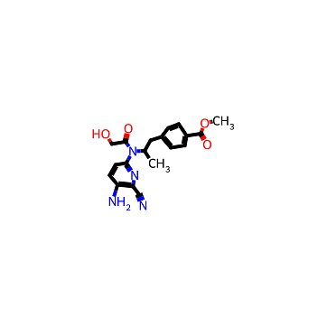 COC(=O)c1ccc(CC(C)N(C(=O)CO)c2ccc(N)c(C#N)n2)cc1